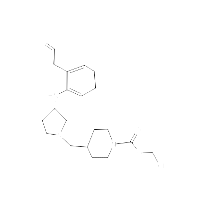 CCOC(=O)N1CCC(CN2CC[C@H](NC3=CCCC=C3CC=O)C2)CC1